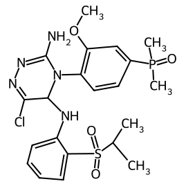 COc1cc(P(C)(C)=O)ccc1N1C(N)=NN=C(Cl)C1Nc1ccccc1S(=O)(=O)C(C)C